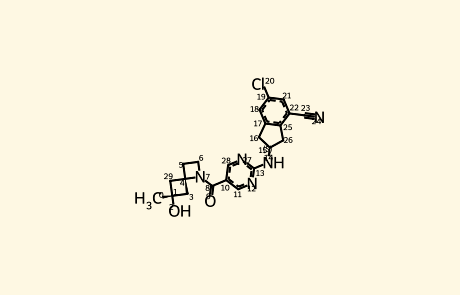 C[C@]1(O)C[C@]2(CCN2C(=O)c2cnc(N[C@H]3Cc4cc(Cl)cc(C#N)c4C3)nc2)C1